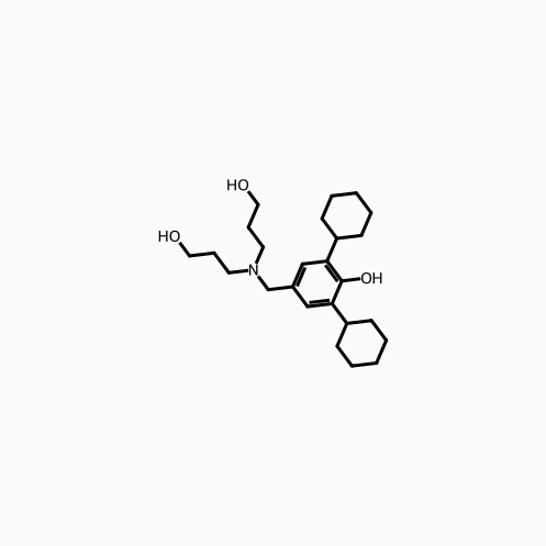 OCCCN(CCCO)Cc1cc(C2CCCCC2)c(O)c(C2CCCCC2)c1